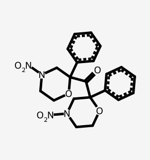 O=C(C1(c2ccccc2)CN([N+](=O)[O-])CCO1)C1(c2ccccc2)CN([N+](=O)[O-])CCO1